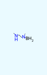 BN(C)CCNC